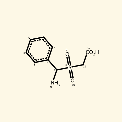 NC(c1ccccc1)S(=O)(=O)CC(=O)O